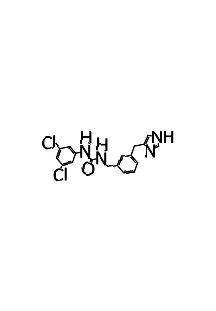 O=C(NCc1cccc(Cc2c[nH]cn2)c1)Nc1cc(Cl)cc(Cl)c1